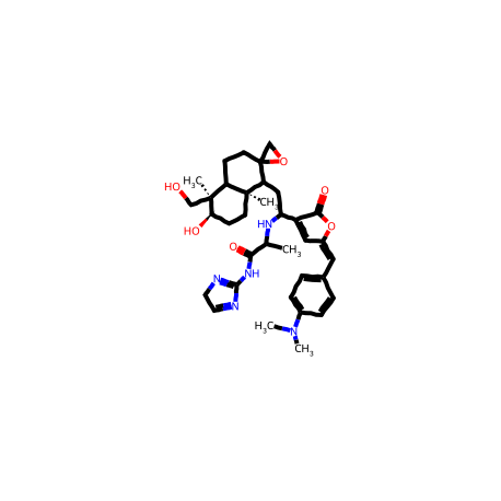 CC(NC(CC1C2(CCC3[C@]1(C)CC[C@@H](O)[C@@]3(C)CO)CO2)C1=C/C(=C\c2ccc(N(C)C)cc2)OC1=O)C(=O)NC1=NCC=N1